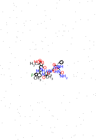 CC[C@@]1(O)C(=O)OCc2c1cc1n(c2=O)Cc2c-1nc1cc(F)c(C)c3c1c2[C@@H](NC(=O)C(C)(C)COCNC(=O)CNC(=O)[C@H](Cc1ccccc1)NC(=O)CNC(=O)CN)CC3